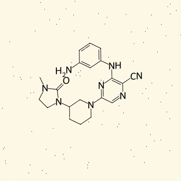 CN1CCN(C2CCCN(c3cnc(C#N)c(Nc4cccc(N)c4)n3)C2)C1=O